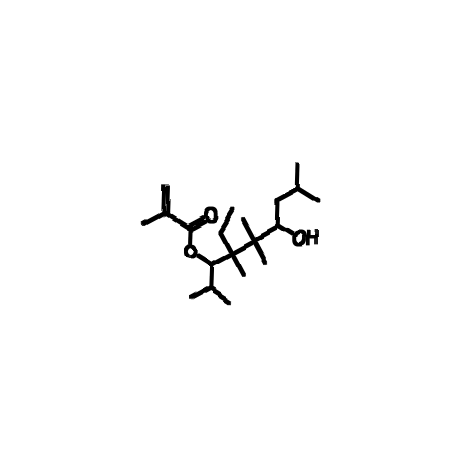 C=C(C)C(=O)OC(C(C)C)C(C)(CC)C(C)(C)C(O)CC(C)C